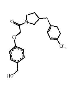 O=C(COc1ccc(CO)cc1)N1CCC(SC2=CC=C(C(F)(F)F)CC2)C1